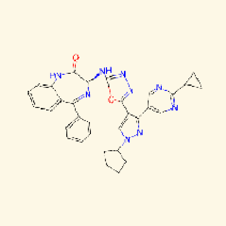 O=C1Nc2ccccc2C(c2ccccc2)=N[C@@H]1Nc1nnc(-c2cn(C3CCCC3)nc2-c2cnc(C3CC3)nc2)o1